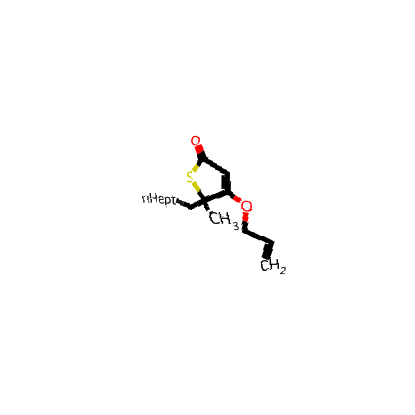 C=CCOC1=CC(=O)SC1(C)CCCCCCCC